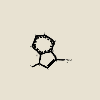 CC1C=C(C(C)(C)C)c2ccccc21